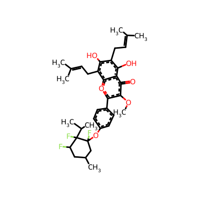 COc1c(-c2ccc(OC3(F)CC(C)CC(F)C3(F)C(C)C)cc2)oc2c(CC=C(C)C)c(O)c(CC=C(C)C)c(O)c2c1=O